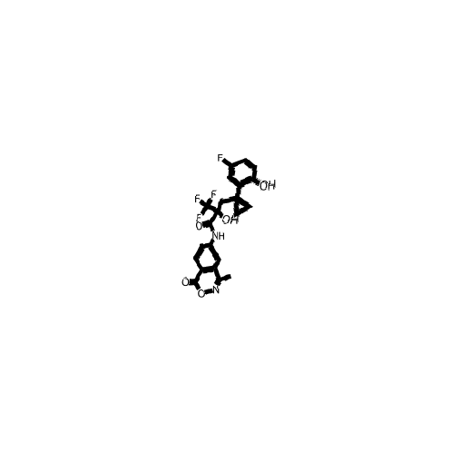 Cc1noc(=O)c2ccc(NC(=O)C(O)(CC3(c4cc(F)ccc4O)CC3)C(F)(F)F)cc12